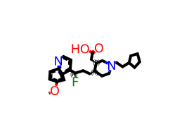 COc1ccc2nccc([C@H](F)CC[C@@H]3CCN(CCC4CCCC4)C[C@@H]3CC(=O)O)c2c1